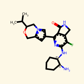 CC(C)C1Cn2cc(-c3nc(N[C@@H]4CCCC[C@@H]4N)c(F)c4c3C(=O)NC4)cc2CO1